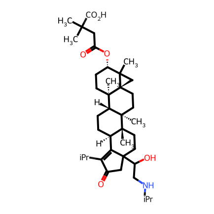 CC(C)NCC(O)C12CC[C@]3(C)[C@H](CC[C@@H]4[C@@]5(C)CC[C@H](OC(=O)CC(C)(C)C(=O)O)C6(C)C[C@]65CC[C@]43C)C1=C(C(C)C)C(=O)C2